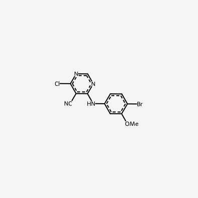 COc1cc(Nc2ncnc(Cl)c2C#N)ccc1Br